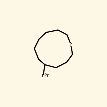 CCCC1CCCCCCCCCC1